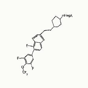 CCCCCCCC1CCC(CCc2ccc3c(F)c(-c4cc(F)c(OC(F)(F)F)c(F)c4)ccc3c2)CC1